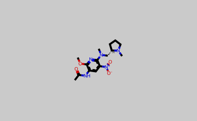 COc1nc(N(C)C[C@@H]2CCCN2C)c([N+](=O)[O-])cc1NC(C)=O